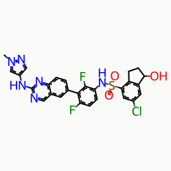 Cn1cc(Nc2ncc3cc(-c4c(F)ccc(NS(=O)(=O)c5cc(Cl)cc6c5CCC6O)c4F)ccc3n2)cn1